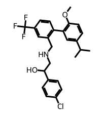 COc1ccc(C(C)C)cc1-c1ccc(C(F)(F)F)cc1CNCC(O)c1ccc(Cl)cc1